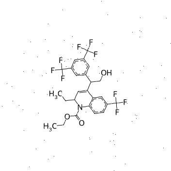 CCOC(=O)N1c2ccc(C(F)(F)F)cc2C(C(CO)c2cc(C(F)(F)F)cc(C(F)(F)F)c2)=CC1CC